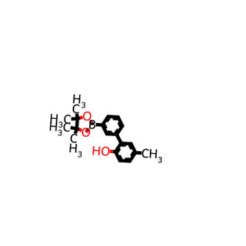 Cc1ccc(O)c(-c2cccc(B3OC(C)(C)C(C)(C)O3)c2)c1